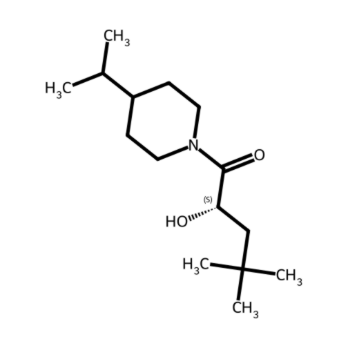 CC(C)C1CCN(C(=O)[C@@H](O)CC(C)(C)C)CC1